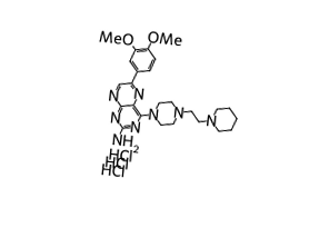 COc1ccc(-c2cnc3nc(N)nc(N4CCN(CCN5CCCCC5)CC4)c3n2)cc1OC.Cl.Cl.Cl